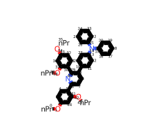 CCCOc1ccc(-c2ccc(-c3ccc(N(c4ccccc4)c4ccccc4)cc3)c(-c3ccc(OCCC)cc3OCCC)n2)c(OCCC)c1